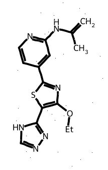 C=C(C)Nc1cc(-c2nc(OCC)c(-c3nnc[nH]3)s2)ccn1